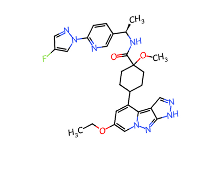 CCOc1cc(C2CCC(OC)(C(=O)N[C@H](C)c3ccc(-n4cc(F)cn4)nc3)CC2)c2c3cn[nH]c3nn2c1